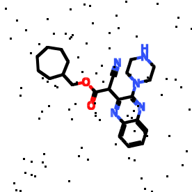 N#CC(C(=O)OCC1CCCCCC1)c1nc2ccccc2nc1N1CCNCC1